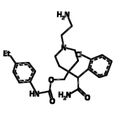 CCc1ccc(NC(=O)OCC2(C(C(N)=O)c3ccccc3Cl)CCN(CCN)CC2)cc1